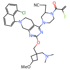 C=C(F)C(=O)N1CCN(c2nc(OCC3(CN(C)C)CC(OC)C3)nc3c2CCN(c2cccc4cccc(Cl)c24)C3)CC1CC#N